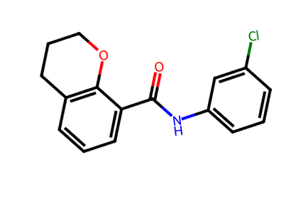 O=C(Nc1cccc(Cl)c1)c1cccc2c1OCCC2